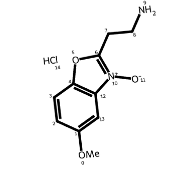 COc1ccc2oc(CCN)[n+]([O-])c2c1.Cl